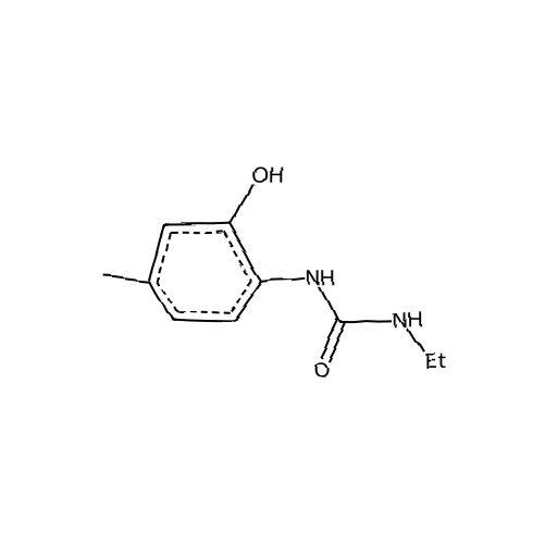 CCNC(=O)Nc1ccc(C)cc1O